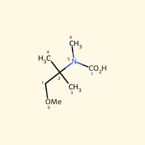 COCC(C)(C)N(C)C(=O)O